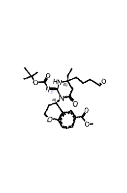 CC[C@@]1(CCCC=O)CC(=O)N([C@@H]2CCOc3ccc(C(=O)OC)cc32)/C(=N/C(=O)OC(C)(C)C)N1